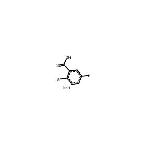 O=C(O)c1cc(F)ccc1Br.[NaH]